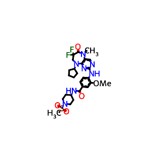 COc1cc(C(=O)NC2CCN(S(C)(=O)=O)CC2)ccc1Nc1ncc2c(n1)N(C1CCCC1)CC(F)(F)C(=O)N2C